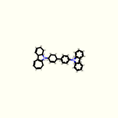 C1=CCC2=C(C=C1)C1C=CCCC1N2C1C=CC(c2ccc(-n3c4ccccc4c4ccccc43)cc2)CC1